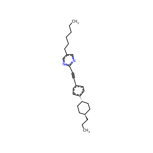 CCCCCCc1cnc(C#Cc2ccc([C@H]3CC[C@H](CCC)CC3)cc2)nc1